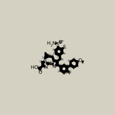 COC1CC=C(c2cc(-c3nn(-c4nc(C(=O)O)cs4)c(CC4CC4)c3Cc3ccc([S+](N)[O-])c(F)c3)ccc2F)CC1